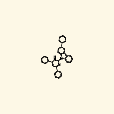 C1=C(c2ccccc2)NC(n2c3ccccc3c3cc(-c4ccccc4)ccc32)N=C1c1ccccc1